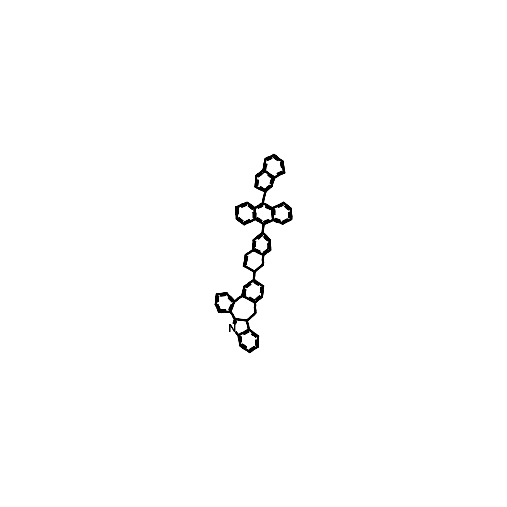 C1=CC(c2ccc3c(c2)-c2ccccc2C2=Nc4ccccc4C2C3)Cc2ccc(-c3c4ccccc4c(-c4ccc5ccccc5c4)c4ccccc34)cc21